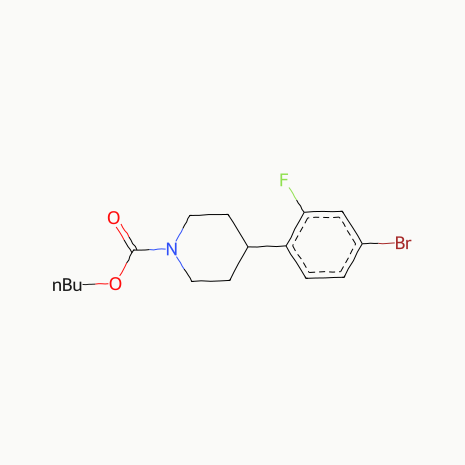 CCCCOC(=O)N1CCC(c2ccc(Br)cc2F)CC1